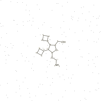 NSOC1OC(CO)C(C2CCC2)C1C1CCC1